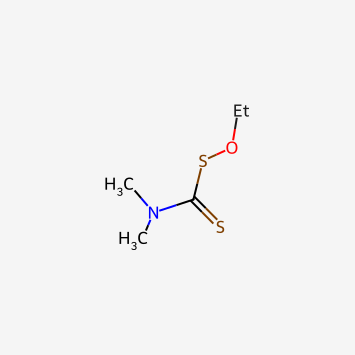 CCOSC(=S)N(C)C